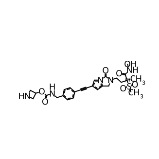 C[C@@](CCN1Cc2cc(C#Cc3ccc(CNC(=O)OC4CNC4)cc3)cn2C1=O)(C(=O)NO)S(C)(=O)=O